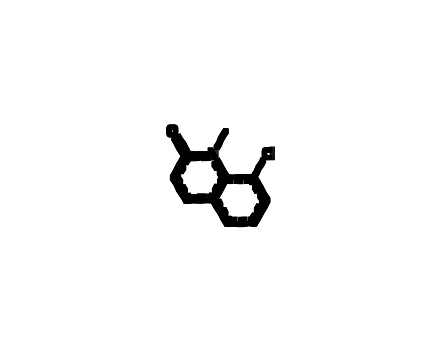 Cn1c(=O)ccc2cccc(Cl)c21